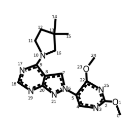 COc1ncc(-n2cc3c(N4CCC(C)(C)C4)ncnc3n2)c(OC)n1